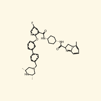 CC1=CC=CC2=NC(C(=O)N[C@H]3CC[C@@H](NC(=O)c4cc(F)cnc4Oc4cccc(-c5ccc(CN6C[C@@H](C)N[C@@H](C)C6)cc5)c4)CC3)CN12